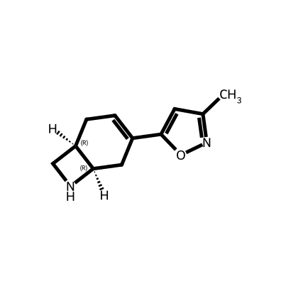 Cc1cc(C2=CC[C@@H]3CN[C@@H]3C2)on1